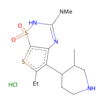 CCc1sc2c(c1C1CCNCC1C)N=C(NC)NS2(=O)=O.Cl